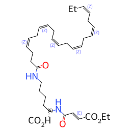 CC/C=C\C/C=C\C/C=C\C/C=C\C/C=C\C/C=C\CCC(=O)NCCCC[C@H](NC(=O)/C=C/C(=O)OCC)C(=O)O